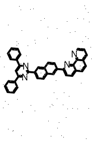 c1ccc(-c2cc(-c3ccccc3)nc(-c3ccc4cc(-c5ccc6ccc7cccnc7c6n5)ccc4c3)n2)cc1